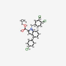 CCOC(=O)c1cc2c(-c3ccc(Cl)cc3)cccc2n1Cc1ccc(Cl)c(Cl)c1